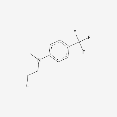 [CH2]CCN(C)c1ccc(C(F)(F)F)cc1